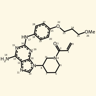 C=CC(=O)N1CCCC(n2cnc3c(N)nc(Nc4ccc(OCCCOC)cc4)nc32)C1